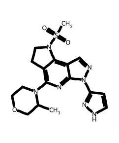 CC1COCCN1c1nc2c(cnn2-c2cc[nH]n2)c2c1CCN2S(C)(=O)=O